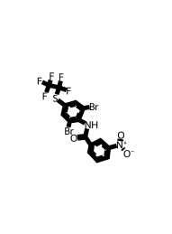 O=C(Nc1c(Br)cc(SC(F)(F)C(F)(F)F)cc1Br)c1cccc([N+](=O)[O-])c1